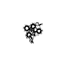 CCOc1ccc(C2(N(OCc3ccccc3)c3ccnc(COC)c3OC)CCCCC2)cc1